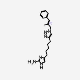 C/C(=C\c1ccccc1)Cn1cc(CCCCCc2c[nH]c(N)n2)nn1